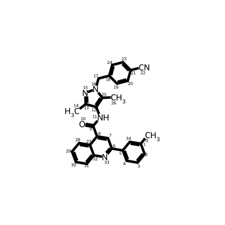 Cc1cccc(-c2cc(C(=O)Nc3c(C)nn(Cc4ccc(C#N)cc4)c3C)c3ccccc3n2)c1